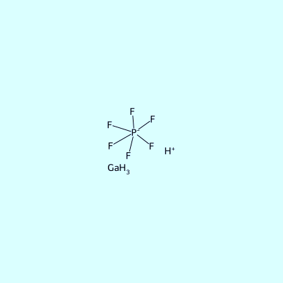 F[P-](F)(F)(F)(F)F.[GaH3].[H+]